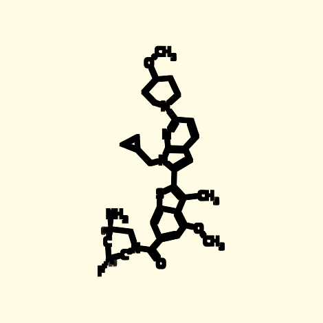 COc1cc(C(=O)N2C[C@H](N)C[C@@H](F)C2)cc2sc(-c3cc4ccc(N5CCC(OC)CC5)nc4n3CC3CC3)c(C)c12